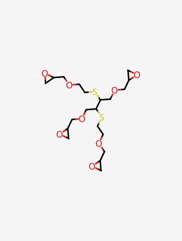 C(CSC(COCC1CO1)C(COCC1CO1)SCCOCC1CO1)OCC1CO1